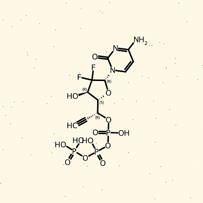 C#C[C@@H](OP(=O)(O)OP(=O)(O)OP(=O)(O)O)[C@H]1O[C@@H](n2ccc(N)nc2=O)C(F)(F)[C@@H]1O